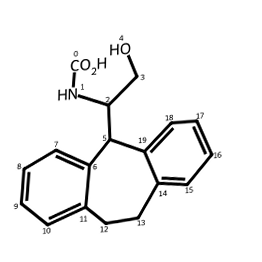 O=C(O)NC(CO)C1c2ccccc2CCc2ccccc21